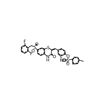 Cc1ccc(S(=O)(=O)Oc2ccc(C=C3Sc4cc(S(=O)(=O)Cc5c(F)cccc5F)ccc4NC3=O)cc2[N+](=O)[O-])cc1